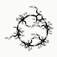 O=S(=O)(O)OC[C@H]1O[C@@H]2O[C@H]3[C@H](O)[C@@H](O)[C@@H](O[C@H]4[C@H](O)[C@@H](O)[C@@H](O[C@H]5[C@H](O)[C@@H](O)[C@@H](O[C@H]6[C@H](O)[C@@H](O)[C@@H](O[C@H]7[C@H](O)[C@@H](O)[C@@H](O[C@H]1[C@H](O)[C@H]2O)O[C@@H]7COS(=O)(=O)O)O[C@@H]6COS(=O)(=O)O)O[C@@H]5COS(=O)(=O)O)O[C@@H]4COS(=O)(=O)O)O[C@@H]3COS(=O)(=O)O